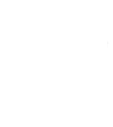 [O]CCCCCCCCCCCF